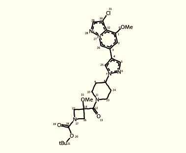 COc1cc(-c2cnn(C3CCN(C(=O)C4(OC)CN(C(=O)OC(C)(C)C)C4)CC3)c2)cn2ncc(Cl)c12